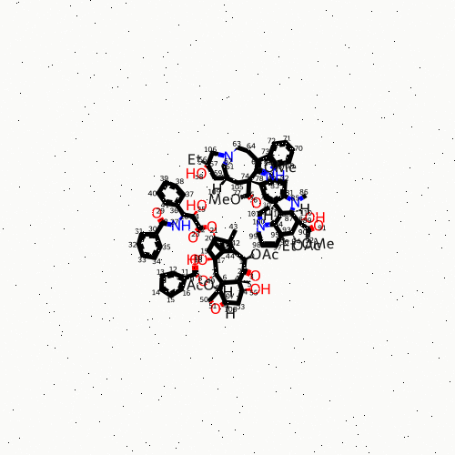 CC(=O)O[C@H]1C(=O)[C@@]2(C)[C@H]([C@H](OC(=O)c3ccccc3)[C@]3(O)C[C@H](OC(=O)[C@H](O)[C@@H](NC(=O)c4ccccc4)c4ccccc4)C(C)=C1C3(C)C)[C@]1(OC(C)=O)CO[C@@H]1C[C@@H]2O.CC[C@]1(O)C[C@@H]2C[N@@](CCc3c([nH]c4ccccc34)[C@@](C(=O)OC)(c3cc4c(cc3OC)N(C)[C@H]3[C@@](O)(C(=O)OC)[C@H](OC(C)=O)[C@]5(CC)C=CCN6CC[C@]43[C@@H]65)C2)C1